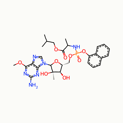 COc1nc(N)nc2c1ncn2C1O[C@H](COP(=O)(NC(C)C(=O)OCC(C)C)Oc2cccc3ccccc23)[C@@H](O)[C@@]1(C)O